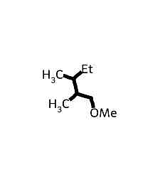 CCC(C)C(C)COC